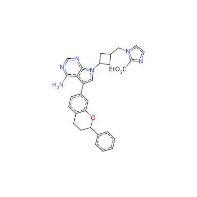 CCOC(=O)c1nccn1CC1CC(n2cc(-c3ccc4c(c3)OC(c3ccccc3)CC4)c3c(N)ncnc32)C1